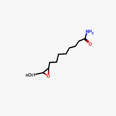 CCCCCCCCC1OC1CCCCCCCC(N)=O